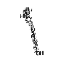 CC(C)(C)OC(=O)N[C@H]1CC[C@H](COCCOCCOCCOCCOCCO)CC1